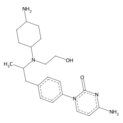 CC(Cc1ccc(-n2ccc(N)nc2=O)cc1)N(CCO)C1CCC(N)CC1